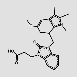 COC1=Cc2c(C)c(C)n(C)c2C(Cn2c(=O)n(CCC(=O)O)c3ccccc32)C1